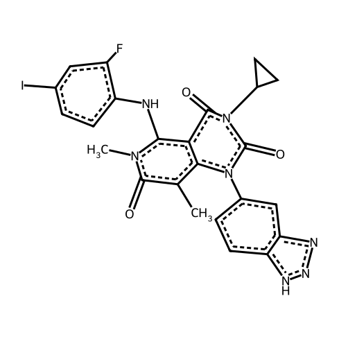 Cc1c(=O)n(C)c(Nc2ccc(I)cc2F)c2c(=O)n(C3CC3)c(=O)n(-c3ccc4[nH]nnc4c3)c12